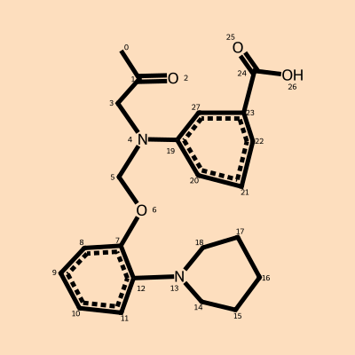 CC(=O)CN(COc1ccccc1N1CCCCC1)c1cccc(C(=O)O)c1